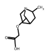 CC1CC2CCN1CC2OCC(=O)O